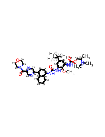 COc1c(NC(=O)Nc2ccc(-c3cnc(C(=O)N4CCOCC4)cn3)c3ccccc23)cc(C(C)(C)C)cc1NC(=O)OCC(C)N(C)C